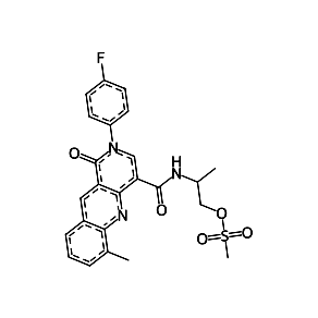 Cc1cccc2cc3c(=O)n(-c4ccc(F)cc4)cc(C(=O)NC(C)COS(C)(=O)=O)c3nc12